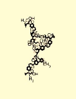 CCN(CCc1cc(-c2ccc(C3CCc4ccc([C@H](C5CC5)[C@H](C)C(=O)O)cc4O3)cc2CN(CCc2nc(OC)cc(-c3ccc(C4CCc5ccc([C@H](C6CC6)[C@H](C)C(=O)O)cc5O4)nc3CN(CC)CC)c2F)C(C)C)cc(OC)n1)Cc1cc(C2CCc3ccc([C@H](C4CC4)[C@H](C)C(=O)O)cc3O2)ccc1-c1cc(OC)ncc1C#N